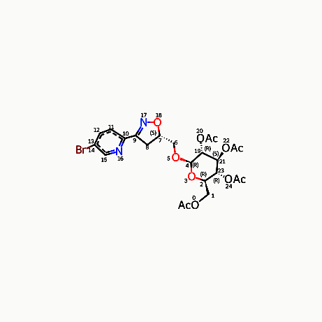 CC(=O)OC[C@H]1O[C@@H](OC[C@@H]2CC(c3ccc(Br)cn3)=NO2)[C@H](OC(C)=O)[C@@H](OC(C)=O)[C@@H]1OC(C)=O